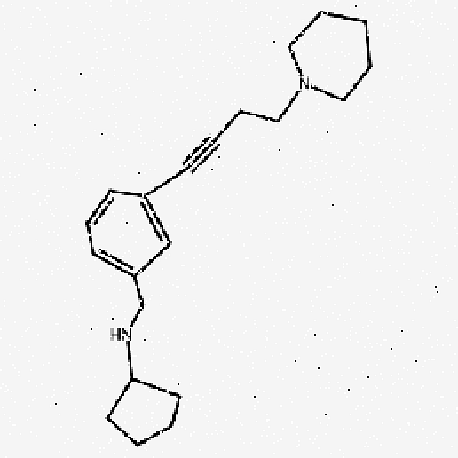 C(#Cc1cccc(CNC2CCCC2)c1)CCN1CCCCC1